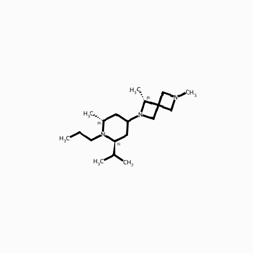 CCCN1[C@H](C)CC(N2CC3(CN(C)C3)[C@H]2C)C[C@H]1C(C)C